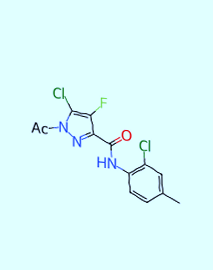 CC(=O)n1nc(C(=O)Nc2ccc(C)cc2Cl)c(F)c1Cl